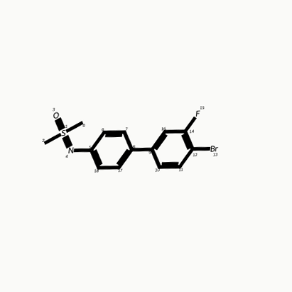 CS(C)(=O)=Nc1ccc(-c2ccc(Br)c(F)c2)cc1